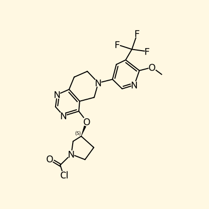 COc1ncc(N2CCc3ncnc(O[C@H]4CCN(C(=O)Cl)C4)c3C2)cc1C(F)(F)F